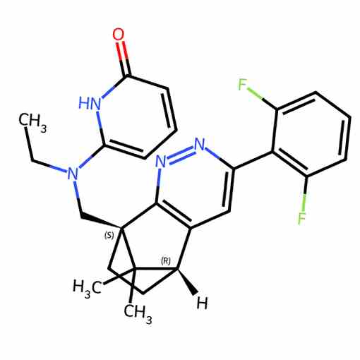 CCN(C[C@@]12CC[C@@H](c3cc(-c4c(F)cccc4F)nnc31)C2(C)C)c1cccc(=O)[nH]1